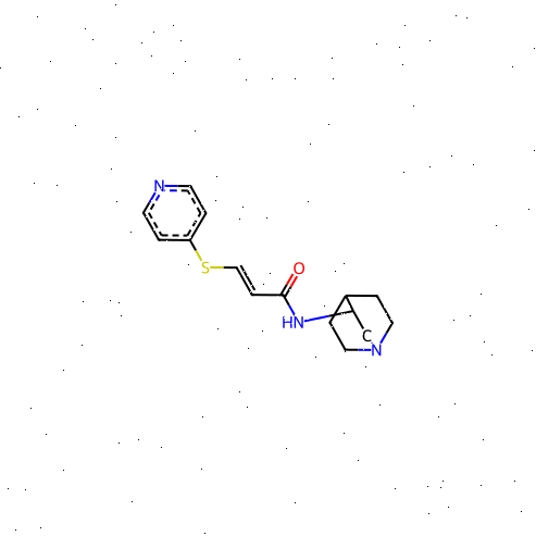 O=C(C=CSc1ccncc1)NC1CN2CCC1CC2